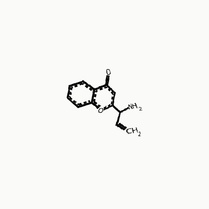 C=CC(N)c1cc(=O)c2ccccc2o1